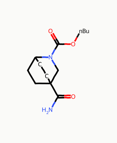 CCCCOC(=O)N1CC2(C(N)=O)CCC1CC2